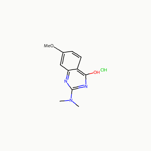 COc1ccc2c(O)nc(N(C)C)nc2c1.Cl